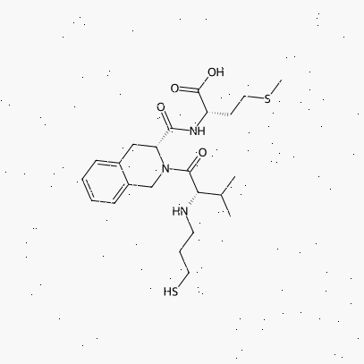 CSCC[C@H](NC(=O)[C@H]1Cc2ccccc2CN1C(=O)[C@@H](NCCCS)C(C)C)C(=O)O